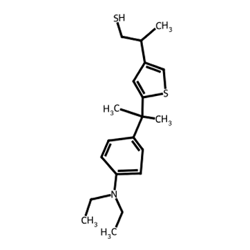 CCN(CC)c1ccc(C(C)(C)c2cc(C(C)CS)cs2)cc1